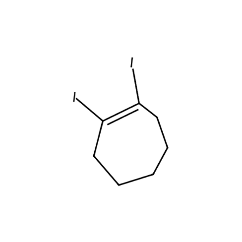 IC1=C(I)CCCCC1